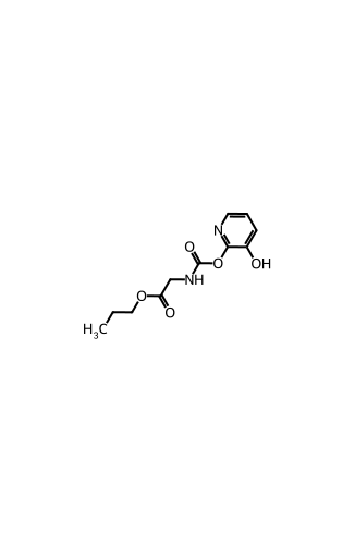 CCCOC(=O)CNC(=O)Oc1ncccc1O